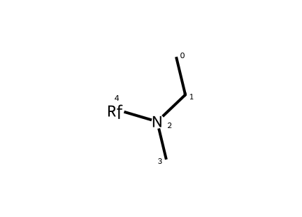 CC[N](C)[Rf]